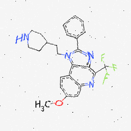 COc1ccc2c(c1)nc(C(F)(F)F)c1nc(-c3ccccc3)n(CCC3CCNCC3)c12